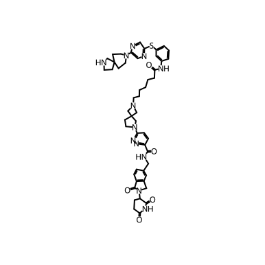 O=C1CCC(N2Cc3cc(CNC(=O)c4ccc(N5CCC6(CN(CCCCCCC(=O)Nc7cccc(Sc8cnc(N9CCC%10(CCNC%10)CC9)cn8)c7)C6)C5)nn4)ccc3C2=O)C(=O)N1